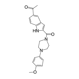 COc1ccc(N2CCN(C(=O)c3cc4cc(C(C)=O)ccc4[nH]3)CC2)cc1